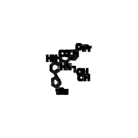 CC(C)Oc1ccc(C(NCCO)c2c(C(=O)O)[nH]c3ccc(-c4ccc(C(C)(C)C)cc4)cc23)cc1.Cl